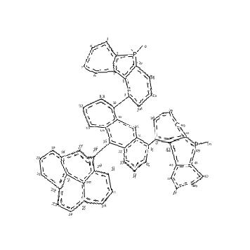 Cp1c2ccccc2c2c(-c3cccc4c(-c5cc6cccc7ccc8cccc5c8c76)c5cccc(-c6cccc7c6c6ccccc6p7C)c5cc34)cccc21